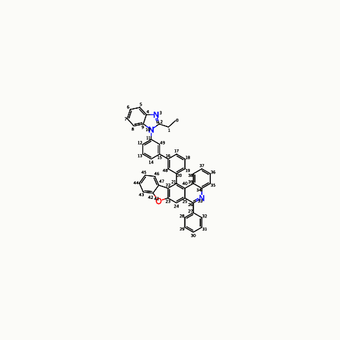 CCc1nc2ccccc2n1-c1cccc(-c2cccc(-c3c4c(cc5c(-c6ccccc6)nc6ccccc6c35)oc3ccccc34)c2)c1